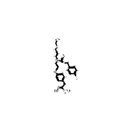 CCOC(Cc1ccc(OCCN(CCCOCC(F)(F)F)C(=O)OCc2ccc(F)cc2)cc1)C(=O)O